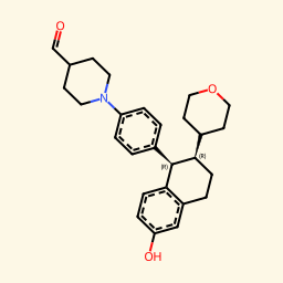 O=CC1CCN(c2ccc([C@@H]3c4ccc(O)cc4CC[C@@H]3C3CCOCC3)cc2)CC1